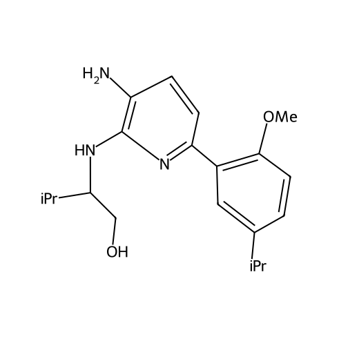 COc1ccc(C(C)C)cc1-c1ccc(N)c(NC(CO)C(C)C)n1